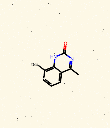 Cc1nc(=O)[nH]c2c(C(C)(C)C)cccc12